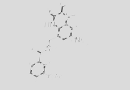 CC(=O)Oc1cccc(C(=O)NCc2cc([N+](=O)[O-])cc3[nH]c(=O)c(=O)[nH]c23)c1